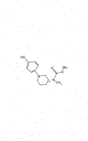 CN(C(=O)OC(C)(C)C)[C@@H]1CCCN(c2ccc(O)cc2)C1